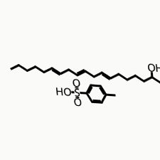 CCCCCC=CCC=CCC=CCCCCC(C)O.Cc1ccc(S(=O)(=O)O)cc1